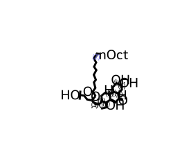 CCCCCCCC/C=C\CCCCCCCC(=O)OC(CCC(C)(C)O)[C@@H](C)[C@H]1CC[C@@]2(O)C3=CC(=O)[C@@H]4C[C@@H](O)[C@@H](O)C[C@]4(C)[C@H]3CC[C@]12C